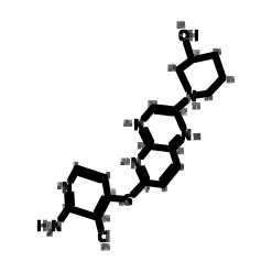 Nc1nccc(Sc2ccc3nc(N4CCCC(O)C4)cnc3n2)c1Cl